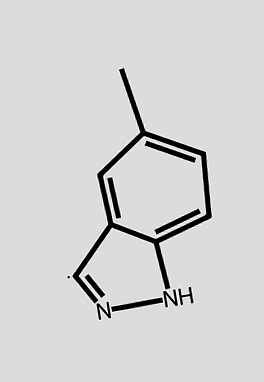 Cc1ccc2[nH]n[c]c2c1